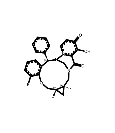 O=C1c2c(O)c(=O)ccn2N2CN1C[C@H]1C[C@@H]1COc1c(F)cccc1[C@H]2c1ccccc1